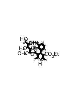 CCOC(=O)C1=C(C)NC(C)=C(C(=O)O[C@@H](C=O)[C@@H](O)[C@H](O)[C@H](O)CO)C1c1cccc([N+](=O)[O-])c1